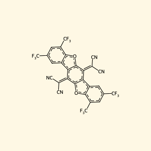 N#CC(C#N)=c1c2oc3c(C(F)(F)F)cc(C(F)(F)F)cc3c2c(=C(C#N)C#N)c2oc3c(C(F)(F)F)cc(C(F)(F)F)cc3c12